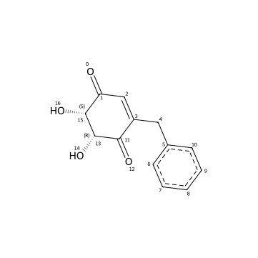 O=C1C=C(Cc2ccccc2)C(=O)[C@H](O)[C@@H]1O